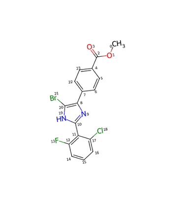 COC(=O)c1ccc(-c2nc(-c3c(F)cccc3Cl)[nH]c2Br)cc1